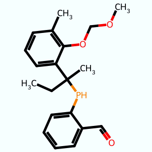 CCC(C)(Pc1ccccc1C=O)c1cccc(C)c1OCOC